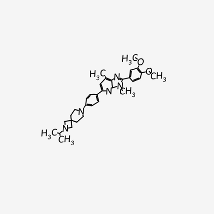 COc1ccc(-c2nc3c(C)cc(-c4ccc(N5CCC6(CC5)CN(C(C)C)C6)cc4)nc3n2C)cc1OC